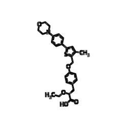 CCO[C@@H](Cc1ccc(OCc2sc(-c3ccc(N4CCOCC4)cc3)cc2C)cc1)C(=O)O